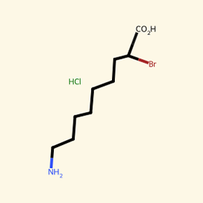 Cl.NCCCCCCCC(Br)C(=O)O